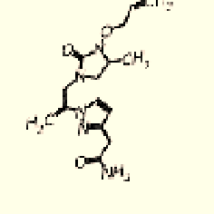 C=CCON1C(=O)N(CC(=C)n2ccc(CC(N)=O)n2)CC1C